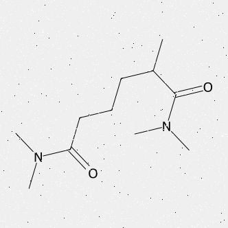 CC(CCCC(=O)N(C)C)C(=O)N(C)C